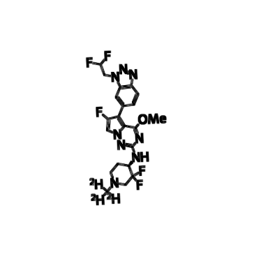 [2H]C([2H])([2H])N1CC[C@@H](Nc2nc(OC)c3c(-c4ccc5nnn(CC(F)F)c5c4)c(F)cn3n2)C(F)(F)C1